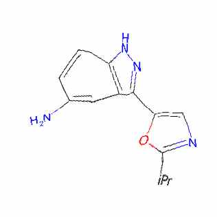 CC(C)c1ncc(-c2n[nH]c3ccc(N)cc23)o1